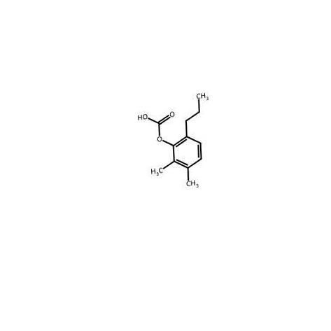 CCCc1ccc(C)c(C)c1OC(=O)O